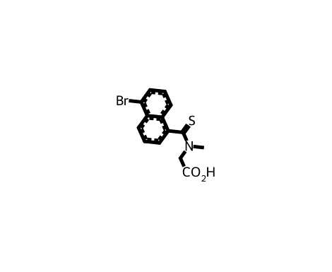 CN(CC(=O)O)C(=S)c1cccc2c(Br)cccc12